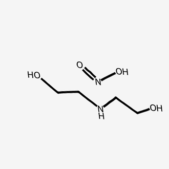 O=NO.OCCNCCO